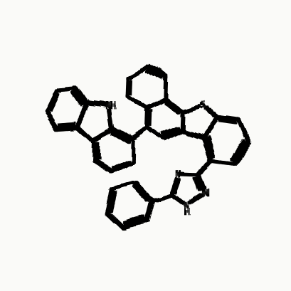 c1ccc(-c2nc(-c3cccc4sc5c6ccccc6c(-c6cccc7c6[nH]c6ccccc67)cc5c34)n[nH]2)cc1